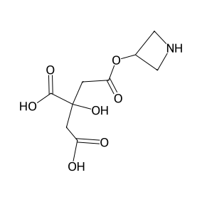 O=C(O)CC(O)(CC(=O)OC1CNC1)C(=O)O